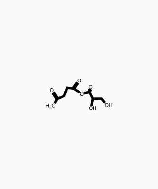 CC(=O)CCC(=O)OC(=O)C(O)CO